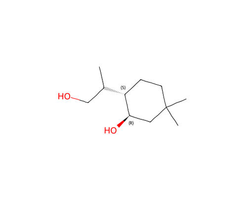 CC(CO)[C@@H]1CCC(C)(C)C[C@H]1O